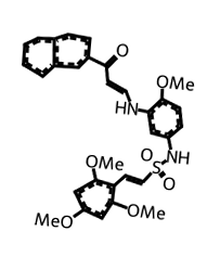 COc1cc(OC)c(C=CS(=O)(=O)Nc2ccc(OC)c(NC=CC(=O)c3ccc4ccccc4c3)c2)c(OC)c1